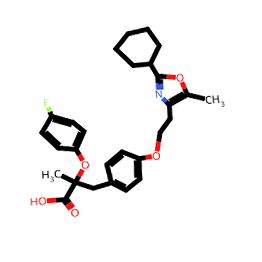 Cc1oc(C2CCCCC2)nc1CCOc1ccc(CC(C)(Oc2ccc(F)cc2)C(=O)O)cc1